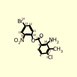 Cc1c(Cl)ccc(C(=O)Oc2ccc(Br)cc2[N+](=O)[O-])c1N